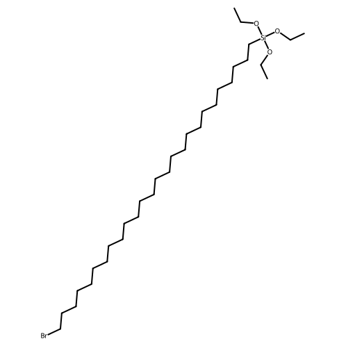 CCO[Si](CCCCCCCCCCCCCCCCCCCCCCCCCCBr)(OCC)OCC